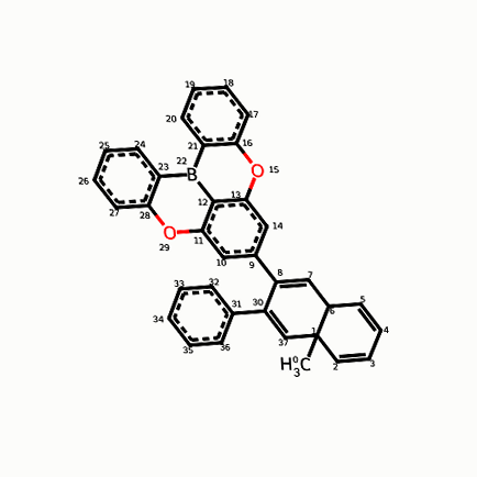 CC12C=CC=CC1C=C(c1cc3c4c(c1)Oc1ccccc1B4c1ccccc1O3)C(c1ccccc1)=C2